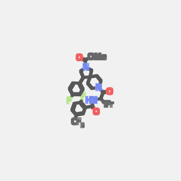 COC(=O)N1CC(c2ccc(F)cc2)C2(CCN(C(=O)[C@H](NC(=O)c3cc(C(F)(F)F)ccc3F)C(C)C)CC2)C1